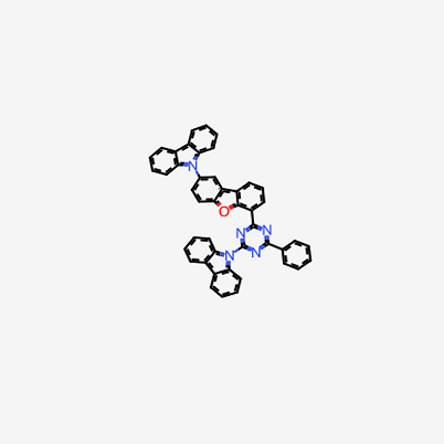 c1ccc(-c2nc(-c3cccc4c3oc3ccc(-n5c6ccccc6c6ccccc65)cc34)nc(-n3c4ccccc4c4ccccc43)n2)cc1